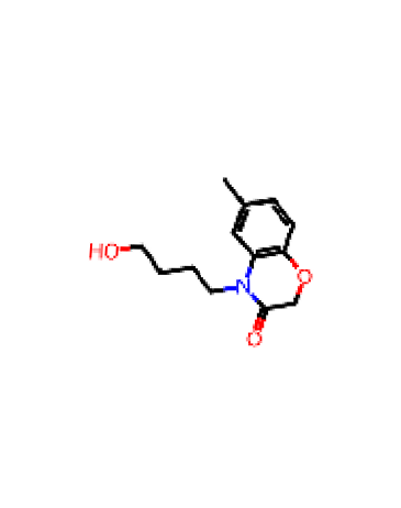 Cc1ccc2c(c1)N(CCCCO)C(=O)CO2